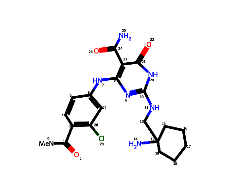 CNC(=O)c1ccc(Nc2nc(NCC3(N)CCCCC3)[nH]c(=O)c2C(N)=O)cc1Cl